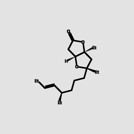 CC/C=C/[C@H](CC)CCC[C@@]1(CC)C[C@]2(CC)OC(=O)C[C@@H]2O1